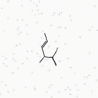 CC=CC(C)C(C)F